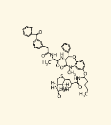 CCCCC(NC(=O)C(CC)C[C@@H]1SC[C@@H]2NC(=O)N[C@@H]21)Oc1ccc2c(c1)N(C)C(=O)[C@H](NC(=O)[C@H](C)NC(=O)Cc1cccc(C(=O)c3ccccc3)c1)[C@H](c1ccccc1)O2